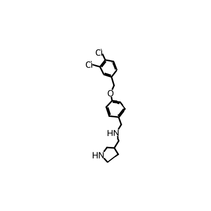 Clc1ccc(COc2ccc(CNCC3CCNC3)cc2)cc1Cl